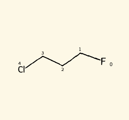 FCCCCl